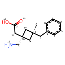 C[C@]1(Cc2ccccc2)C[C@@](CN)(CC(=O)O)C1